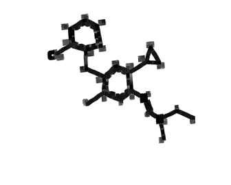 CCN(C)C=Nc1cc(C)c(Cc2ccccc2Cl)cc1C1CC1